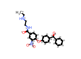 CCNCCNC(=O)c1ccc(Oc2ccc(C(=O)c3ccccc3)cc2)c([N+](=O)[O-])c1